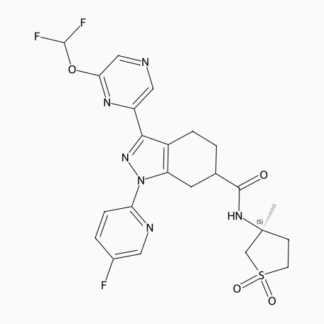 C[C@]1(NC(=O)C2CCc3c(-c4cncc(OC(F)F)n4)nn(-c4ccc(F)cn4)c3C2)CCS(=O)(=O)C1